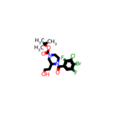 CC(C)(C)OC(=O)N1CCN(C(=O)c2cc(F)c(Br)c(Cl)c2F)C(CCO)C1